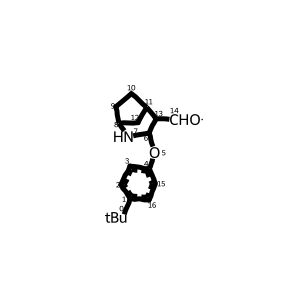 CC(C)(C)c1ccc(OC2NC3CCC(C3)C2[C]=O)cc1